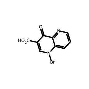 O=C(O)c1cn(Br)c2cccnc2c1=O